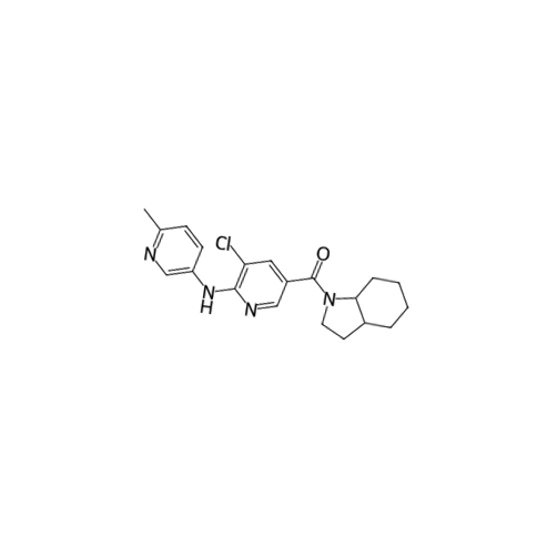 Cc1ccc(Nc2ncc(C(=O)N3CCC4CCCCC43)cc2Cl)cn1